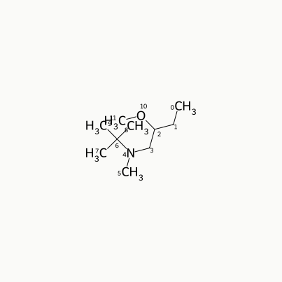 CCC(CN(C)C(C)(C)C)OC